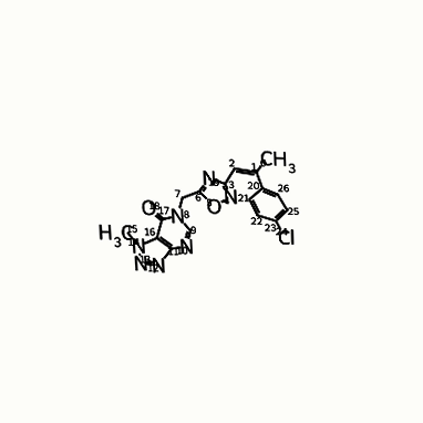 CC(=Cc1noc(Cn2cnc3nnn(C)c3c2=O)n1)c1ccc(Cl)cc1